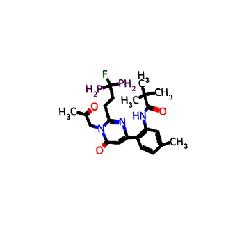 CC(=O)Cn1c(CCC(F)(P)P)nc(-c2ccc(C)cc2NC(=O)C(C)(C)C)cc1=O